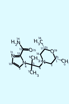 C[C@@H]1CN(CC(C)(C)n2c[c]nc2C(N)=O)C[C@H](C)O1